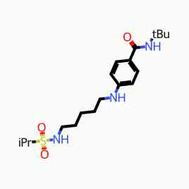 CC(C)S(=O)(=O)NCCCCCNc1ccc(C(=O)NC(C)(C)C)cc1